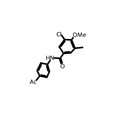 COc1c(C)cc(C(=O)Nc2ccc(C(C)=O)cc2)cc1Cl